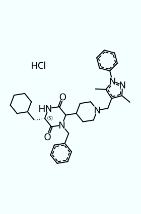 Cc1nn(-c2ccccc2)c(C)c1CN1CCC(C2C(=O)N[C@@H](CC3CCCCC3)C(=O)N2Cc2ccccc2)CC1.Cl